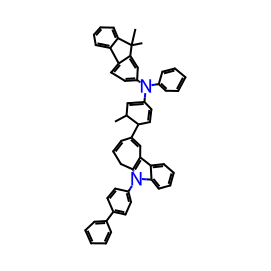 CC1C=C(N(c2ccccc2)c2ccc3c(c2)C(C)(C)c2ccccc2-3)C=CC1C1=Cc2c(n(-c3ccc(-c4ccccc4)cc3)c3ccccc23)CC=C1